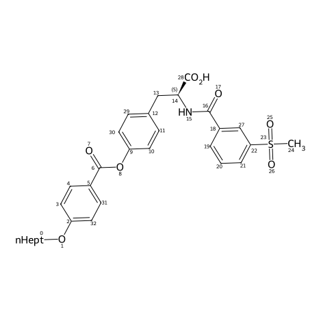 CCCCCCCOc1ccc(C(=O)Oc2ccc(C[C@H](NC(=O)c3cccc(S(C)(=O)=O)c3)C(=O)O)cc2)cc1